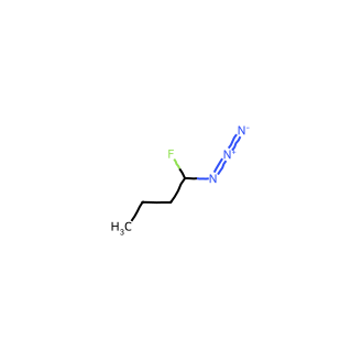 CCCC(F)N=[N+]=[N-]